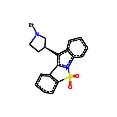 CCN1CC[C@H](c2c3n(c4ccccc24)S(=O)(=O)c2ccccc2-3)C1